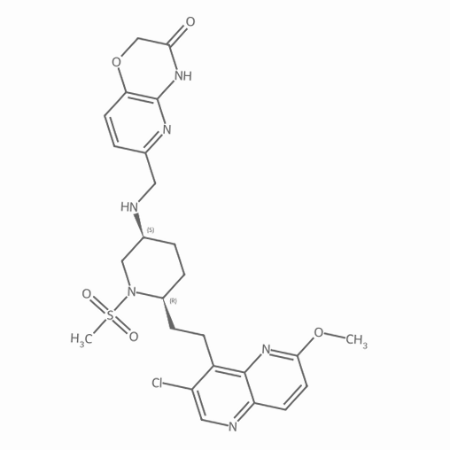 COc1ccc2ncc(Cl)c(CC[C@@H]3CC[C@H](NCc4ccc5c(n4)NC(=O)CO5)CN3S(C)(=O)=O)c2n1